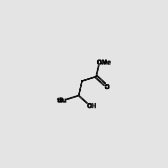 COC(=O)CC(O)C(C)(C)C